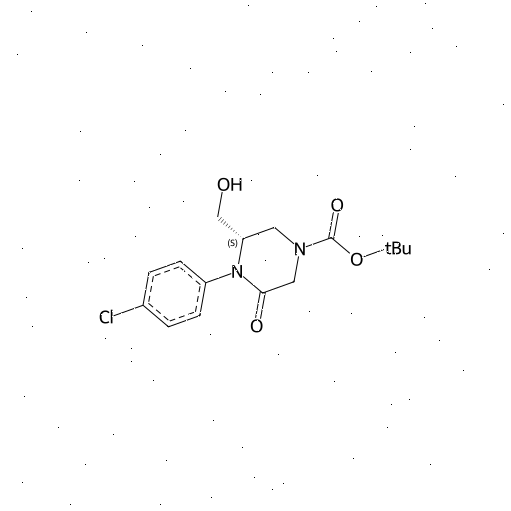 CC(C)(C)OC(=O)N1CC(=O)N(c2ccc(Cl)cc2)[C@H](CO)C1